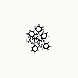 CCC1(c2ccccc2)C(=O)N([Si](c2ccccc2)(c2ccccc2)c2ccccc2)C(=O)N1Cc1ccccc1